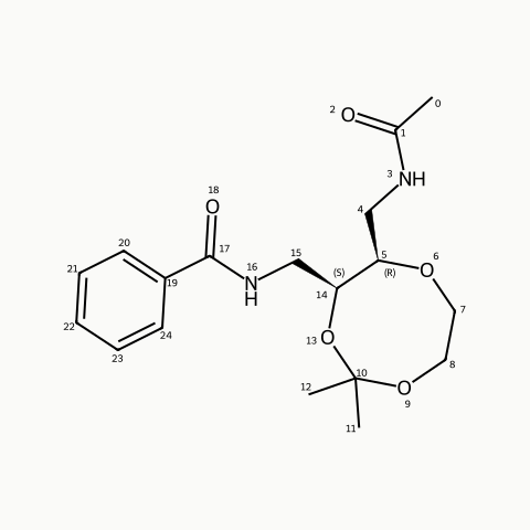 CC(=O)NC[C@H]1OCCOC(C)(C)O[C@H]1CNC(=O)c1ccccc1